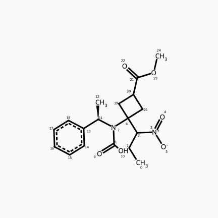 CCC([N+](=O)[O-])C1(N(C(=O)O)[C@H](C)c2ccccc2)CC(C(=O)OC)C1